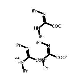 CC(C)N=C(NC(C)C)C(=O)[O-].CC(C)N=C(NC(C)C)C(=O)[O-].CC(C)N=C(NC(C)C)C(=O)[O-].[Y+3]